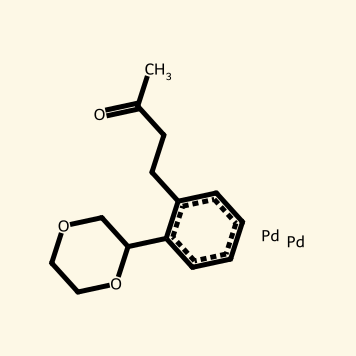 CC(=O)CCc1ccccc1C1COCCO1.[Pd].[Pd]